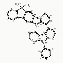 CC1(C)c2ccccc2-c2cc3c(cc21)c1ccccc1n3-c1cccc2c1c1ccccc1n2-c1ccccc1